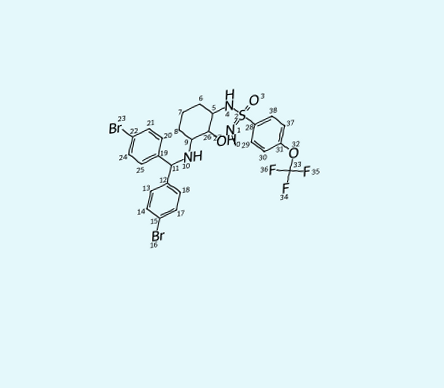 CN=S(=O)(NC1CCCC(NC(c2ccc(Br)cc2)c2ccc(Br)cc2)C1O)c1ccc(OC(F)(F)F)cc1